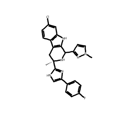 Cn1ccc(C2N[C@@](C)(c3nc(-c4ccc(F)cc4)c[nH]3)Cc3c2[nH]c2cc(Cl)ccc32)n1